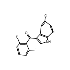 O=C(c1c(F)[c]ccc1F)c1c[nH]c2ncc(Cl)cc12